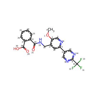 COc1cnc(-c2cnc(C(F)(F)F)nc2)cc1CNC(=O)c1ccccc1C(=O)O